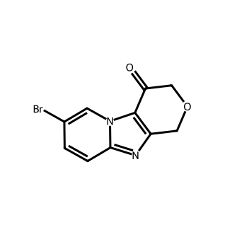 O=C1COCc2nc3ccc(Br)cn3c21